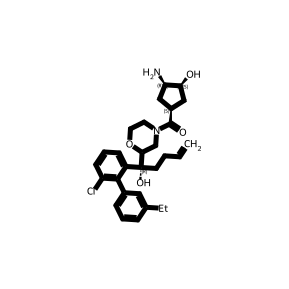 C=CCC[C@@](O)(c1cccc(Cl)c1-c1cccc(CC)c1)C1CN(C(=O)[C@H]2C[C@@H](N)[C@@H](O)C2)CCO1